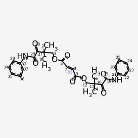 CC(C)(COC(=O)/C=C/C(=O)OCC(C)(C)C(=O)C(=O)Nc1ccccc1)C(=O)C(=O)Nc1ccccc1